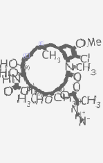 COc1cc2cc(c1Cl)N(C)C(=O)C[C@H](OC(=O)[C@H](C)N=[N+]=[N-])[C@]1(C)O[C@@H]1[C@@H](C)[C@@H]1C[C@@](O)(NC(=O)O1)[C@H](O)/C=C/C=C(\C)C2